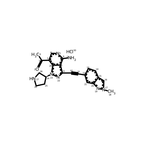 CC(=O)c1cnc(N)c2c(C#Cc3ccc4cn(C)nc4c3)nn([C@H]3CCNC3)c12.Cl